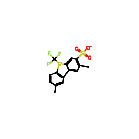 Cc1ccc2c(c1)c1cc(C)c(S(=O)(=O)[O-])cc1[s+]2C(F)(F)F